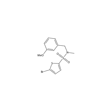 COc1cccc(CN(C)S(=O)(=O)c2ccc(Br)s2)c1